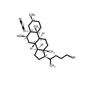 CC(=O)O[C@H]1CC[C@]2(C)[C@H]3CC[C@]4(C)[C@@H](C(C)CCCC(C)C)CC[C@H]4[C@@H]3C[C@@H](O)[C@@]2(N=[N+]=[N-])C1